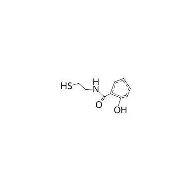 O=C(NCCS)c1ccccc1O